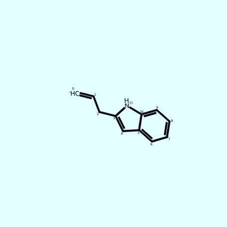 [CH]=CCc1cc2ccccc2[nH]1